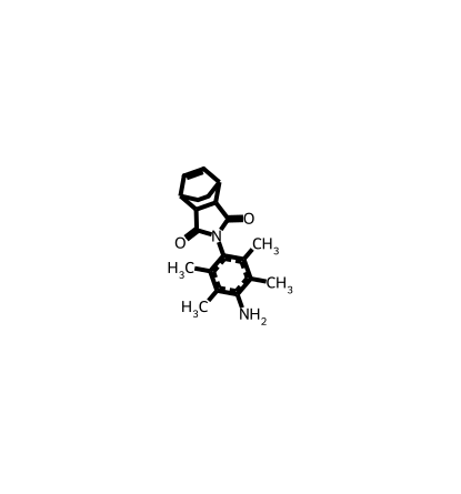 Cc1c(C)c(N2C(=O)C3C4C=CC(CC4)C3C2=O)c(C)c(C)c1N